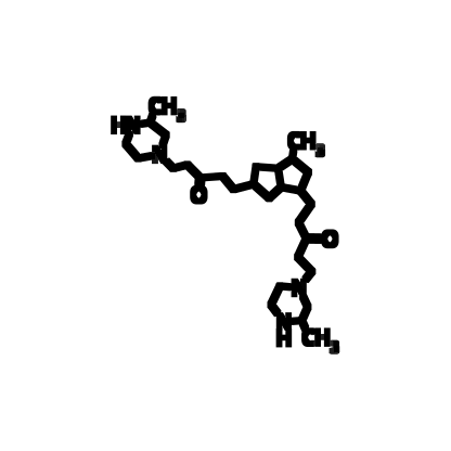 CC1CN(CCC(=O)CCC2CC3C(C)CC(CCC(=O)CCN4CCNC(C)C4)C3C2)CCN1